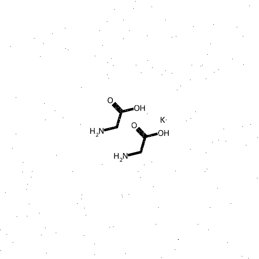 NCC(=O)O.NCC(=O)O.[K]